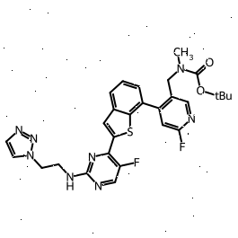 CN(Cc1cnc(F)cc1-c1cccc2cc(-c3nc(NCCn4ccnn4)ncc3F)sc12)C(=O)OC(C)(C)C